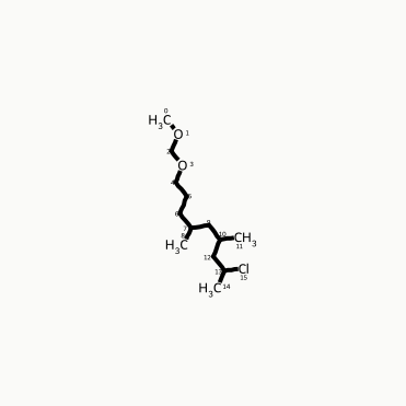 COCOCCCC(C)CC(C)CC(C)Cl